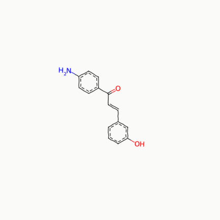 Nc1ccc(C(=O)C=Cc2cccc(O)c2)cc1